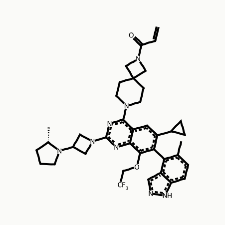 C=CC(=O)N1CC2(CCN(c3nc(N4CC(N5CCC[C@@H]5C)C4)nc4c(OCC(F)(F)F)c(-c5c(C)ccc6[nH]ncc56)c(C5CC5)cc34)CC2)C1